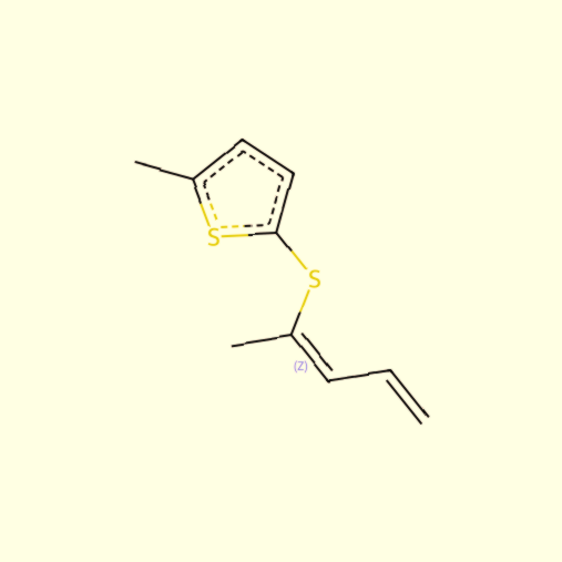 C=C/C=C(/C)Sc1ccc(C)s1